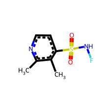 Cc1nccc(S(=O)(=O)NF)c1C